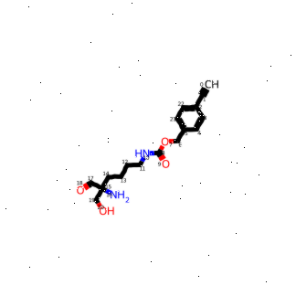 C#Cc1ccc(COC(=O)NCCCCC(N)(C=O)CO)cc1